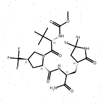 [2H]C1([2H])C[C@@H](C[C@H](NC(=O)[C@@H]2C[C@@H](C(F)(F)F)CN2C(=O)[C@@H](NC(=O)OC)C(C)(C)C)C(N)=O)C(=O)N1